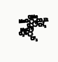 CCOC(=O)N1c2cc(OC)c(OC)cc2C(N(Cc2cc([N+](=O)[O-])cc(C(F)(F)F)c2)C(=O)OC)CC1C